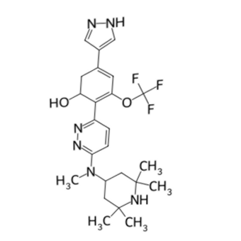 CN(c1ccc(C2=C(OC(F)(F)F)C=C(c3cn[nH]c3)CC2O)nn1)C1CC(C)(C)NC(C)(C)C1